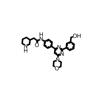 O=C(CC1CCCNC1)Nc1ccc(-c2cc(N3CCOCC3)nc(-c3cccc(CO)c3)n2)cc1